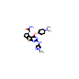 Cn1cc(Nc2nc(O[C@H]3CC[C@H](N(C)C)CC3)c3c4c(sc3n2)CC[C@H]4CC(N)=O)cn1